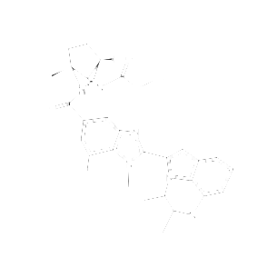 CCC1C(C)Nc2cccc3cc(-c4nc5cc(C(=O)N6C[C@H]7CC[C@@H]6[C@@H]7NC(=O)OC(C)(C)C)cc(F)c5n4C)n1c23